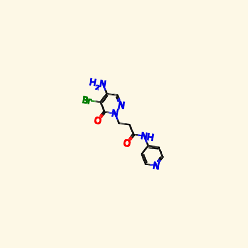 Nc1cnn(CCC(=O)Nc2ccncc2)c(=O)c1Br